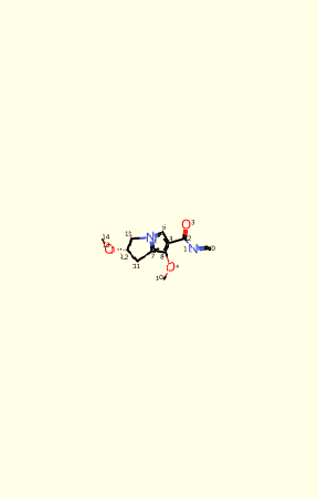 C=NC(=O)c1cn2c(c1OC)C[C@H](OC)C2